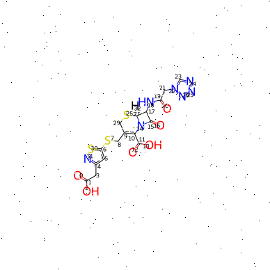 O=C(O)Cc1cc(SCC2=C(C(=O)O)N3C(=O)C(NC(=O)Cn4cnnn4)[C@@H]3SC2)sn1